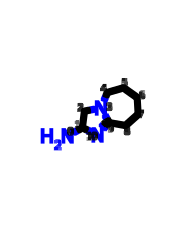 NC1CN2CCCCCC2=N1